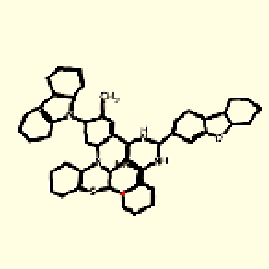 CC1C=C(C2NC(C3C=C4OC5CCCCC5C4CC3)NC(C3CCCCC3)N2)C(N2C3CCCCC3SC3CCCCC32)CC1N1C2=C(CCCC2)C2CCCCC21